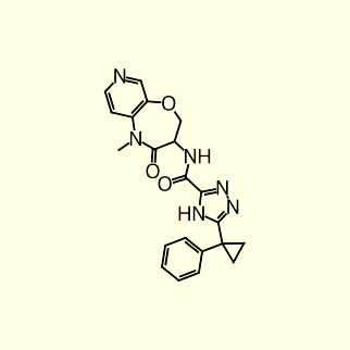 CN1C(=O)C(NC(=O)c2nnc(C3(c4ccccc4)CC3)[nH]2)COc2cnccc21